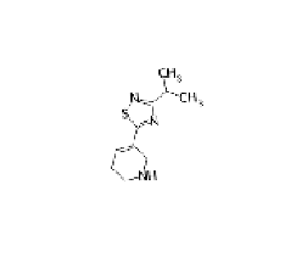 CC(C)c1nsc(C2=CCCNC2)n1